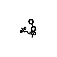 Cc1oc2ccc(-c3ccccc3)cc2[n+]1CCCS(C)(=O)=O